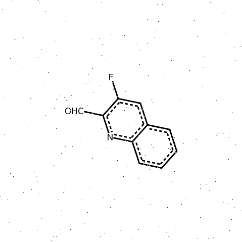 O=Cc1nc2ccccc2cc1F